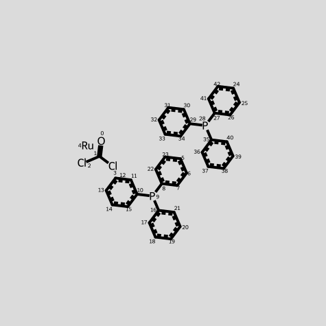 O=C(Cl)Cl.[Ru].c1ccc(P(c2ccccc2)c2ccccc2)cc1.c1ccc(P(c2ccccc2)c2ccccc2)cc1